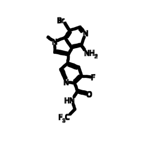 Cn1cc(-c2cnc(C(=O)NCC(F)(F)F)c(F)c2)c2c(N)ncc(Br)c21